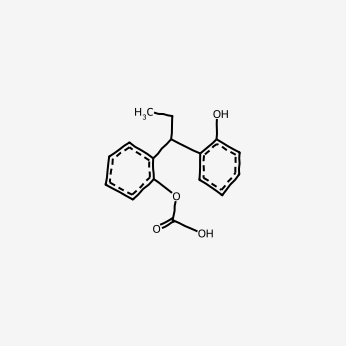 CCC(c1ccccc1O)c1ccccc1OC(=O)O